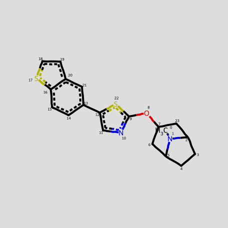 CN1C2CCC1CC(Oc1ncc(-c3ccc4sccc4c3)s1)C2